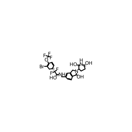 O[C@H](NCc1ccc2c(c1)CN(C1CC[C@H](O)N[C@@H]1O)[C@H]2O)C(F)(F)[C@H]1C=CC(OC(F)(F)F)=C(Br)C1